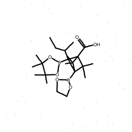 CCC(C)C1(B2OC(C)(C)C(C)(C)O2)C2(B3OCCO3)C(C)(C)C1(C(=O)O)C2(C)C